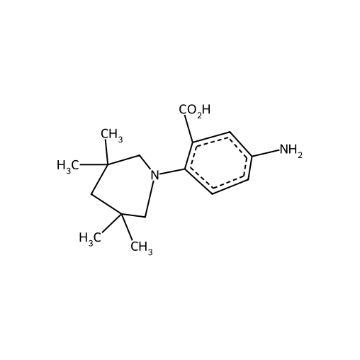 CC1(C)CN(c2ccc(N)cc2C(=O)O)CC(C)(C)C1